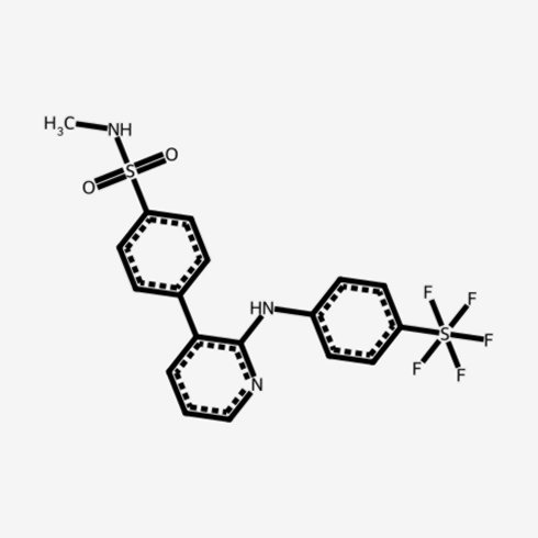 CNS(=O)(=O)c1ccc(-c2cccnc2Nc2ccc(S(F)(F)(F)(F)F)cc2)cc1